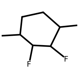 CC1CCC(C)C(F)C1F